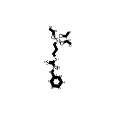 CCO[Si](CCCSC(=S)NCc1ccccc1)(OCC)OCC